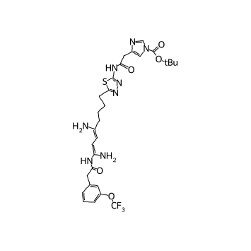 CC(C)(C)OC(=O)n1cnc(CC(=O)Nc2nnc(CCCC/C(N)=C/C=C(\N)NC(=O)Cc3cccc(OC(F)(F)F)c3)s2)c1